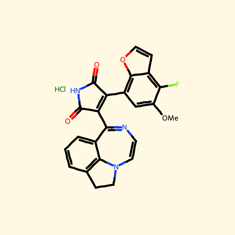 COc1cc(C2=C(C3=NC=CN4CCc5cccc3c54)C(=O)NC2=O)c2occc2c1F.Cl